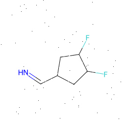 N=CC1CC(F)C(F)C1